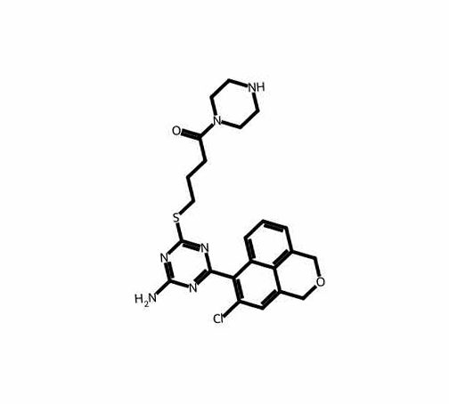 Nc1nc(SCCCC(=O)N2CCNCC2)nc(-c2c(Cl)cc3c4c(cccc24)COC3)n1